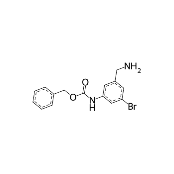 NCc1cc(Br)cc(NC(=O)OCc2ccccc2)c1